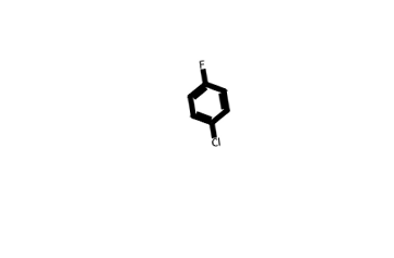 Fc1[c]cc(Cl)[c]c1